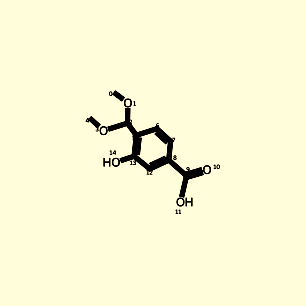 COC(OC)c1ccc(C(=O)O)cc1O